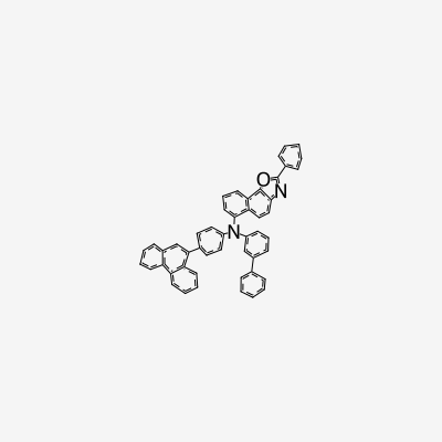 c1ccc(-c2cccc(N(c3ccc(-c4cc5ccccc5c5ccccc45)cc3)c3cccc4c3ccc3nc(-c5ccccc5)oc34)c2)cc1